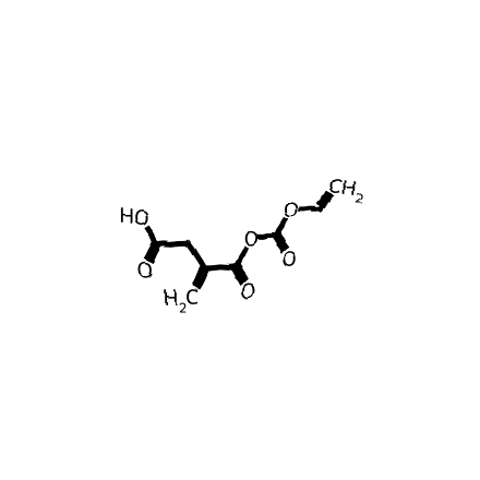 C=COC(=O)OC(=O)C(=C)CC(=O)O